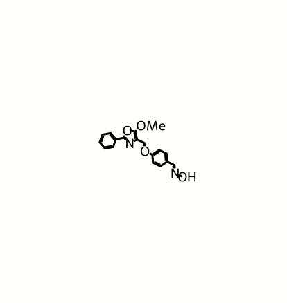 COc1oc(-c2ccccc2)nc1COc1ccc(C=NO)cc1